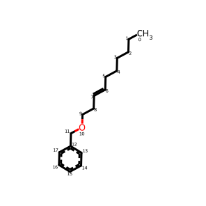 CCCCCC/C=C/CCOCc1ccccc1